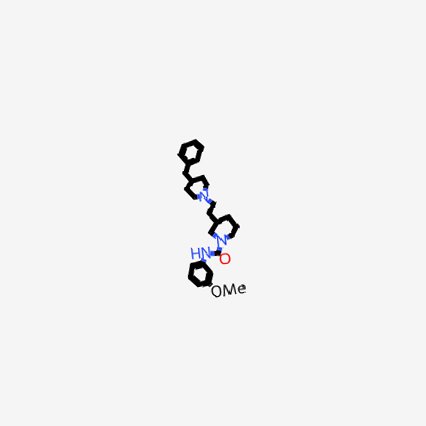 COc1cccc(NC(=O)N2CCCC(CCN3CCC(Cc4ccccc4)CC3)C2)c1